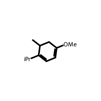 COC1=CC=C(C(C)C)C(C)C1